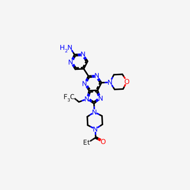 CCC(=O)N1CCN(c2nc3c(N4CCOCC4)nc(-c4cnc(N)nc4)nc3n2CC(F)(F)F)CC1